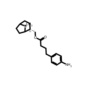 CN1C2CCC1[C@@H](COC(=O)CCCc1ccc(N)cc1)CC2